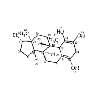 CC[C@H]1CC[C@H]2[C@@H]3CCC4=C(O)CC(O)=C(O)[C@]4(C)[C@H]3CC[C@]12C